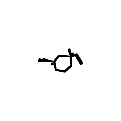 C=C[C@]1(C)CCC[C@H](OC(C)=O)C1